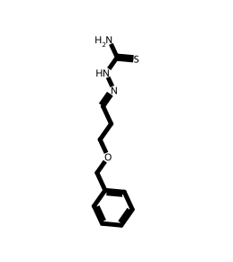 NC(=S)N/N=C/CCOCc1ccccc1